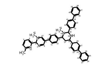 Cc1cccc(C2N=CC(c3ccc(C4CC(C5C=CC(c6ccccc6)=CC5)NC(c5ccc(-c6ccccc6)cc5)N4C)cc3)=CN2C)n1